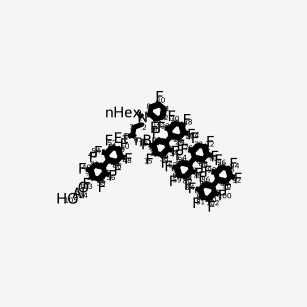 CCCCCCN(CCC(CC)CCCC)c1cc(F)ccc1F.Fc1c(F)c(F)c(-c2c(F)c(F)c(F)c(F)c2F)c(F)c1F.Fc1c(F)c(F)c(-c2c(F)c(F)c(F)c(F)c2F)c(F)c1F.Fc1c(F)c(F)c(-c2c(F)c(F)c(F)c(F)c2F)c(F)c1F.Fc1c(F)c(F)c(-c2c(F)c(F)c(F)c(F)c2F)c(F)c1F.[O]=[Al][OH]